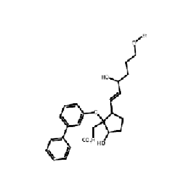 CCOCCCC(O)C=CC1CCC(O)C1(CC(=O)O)Oc1cccc(-c2ccccc2)c1